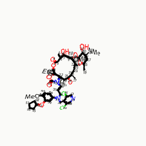 CC[C@H]1OC(=O)C(C)[C@@H](O)[C@H](C)[C@@H](O[C@@H]2OC(C)C[C@H](NC)[C@H]2O)[C@](C)(OC)C[C@@H](C)C(=O)[C@H](C)[C@H]2N(CCCN(Cc3c(Cl)cncc3Cl)c3ccc(OC)c(OC4CCCC4)c3)C(=O)O[C@]12C